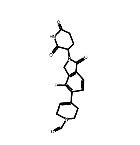 O=CN1CC=C(c2ccc3c(c2F)CN(C2CCC(=O)NC2=O)C3=O)CC1